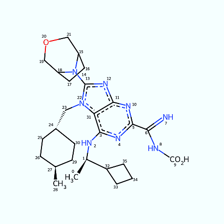 C[C@@H](Nc1nc(C(=N)NC(=O)O)nc2nc(N3C4CCC3COC4)n(C[C@H]3CC[C@H](C)CC3)c12)C1CCC1